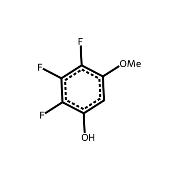 COc1cc(O)c(F)c(F)c1F